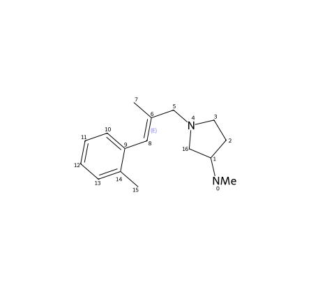 CNC1CCN(C/C(C)=C/c2ccccc2C)C1